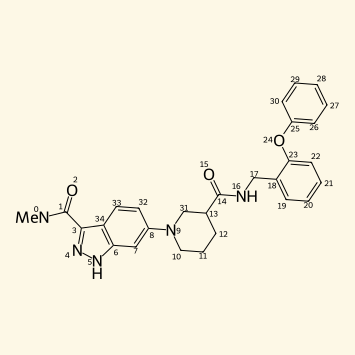 CNC(=O)c1n[nH]c2cc(N3CCCC(C(=O)NCc4ccccc4Oc4ccccc4)C3)ccc12